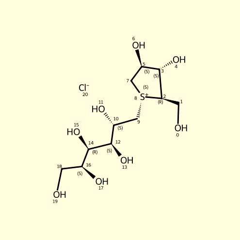 OC[C@@H]1[C@@H](O)[C@H](O)C[S@@+]1C[C@@H](O)[C@@H](O)[C@H](O)[C@@H](O)CO.[Cl-]